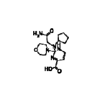 NC(=O)CN(C1CCCC1)C1(N2CCOCC2)N=C(C(=O)O)C=CN1